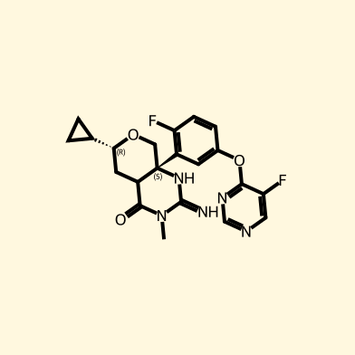 CN1C(=N)N[C@@]2(c3cc(Oc4ncncc4F)ccc3F)CO[C@@H](C3CC3)CC2C1=O